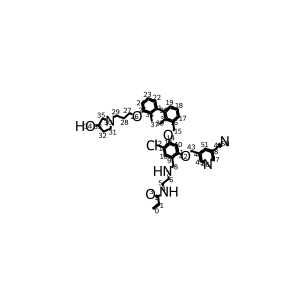 C=CC(=O)NCCNCc1cc(Cl)c(OCc2cccc(-c3cccc(OCCCN4CCC(O)C4)c3C)c2C)cc1OCc1cncc(C#N)c1